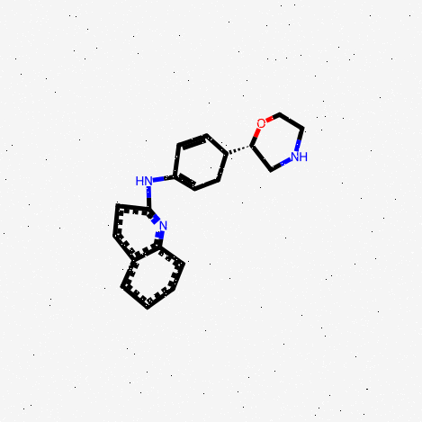 C1=CC([C@H]2CNCCO2)CC=C1Nc1ccc2ccccc2n1